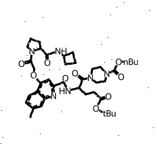 CCCCOC(=O)N1CCN(C(=O)C(CCC(=O)OC(C)(C)C)NC(=O)c2cc(OCC(=O)N3CCCC3C(=O)NC3CCC3)c3ccc(C)cc3n2)CC1